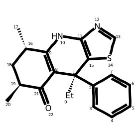 CC[C@]1(c2ccccc2)C2=C(Nc3ncsc31)[C@@H](C)C[C@H](C)C2=O